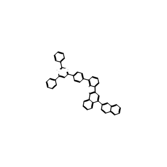 c1ccc(-c2cc(-c3ccc(-c4cccc5c4oc4c6ccccc6c(-c6ccc7ccccc7c6)cc54)cc3)nc(-c3ccccc3)n2)cc1